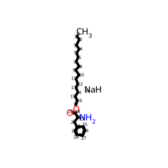 CCCCCCCCCCCCCCCCCCOC(=O)[C@@H](N)Cc1ccccc1.[NaH]